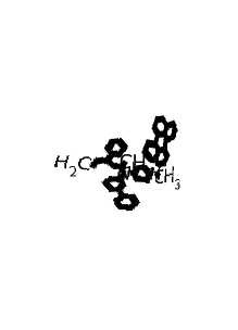 C=C/C=C(\C=C(/C)N(c1ccc(N(C)c2ccc3c4cccc5cccc(c6cccc2c63)c54)cc1)c1cccc(-c2ccccc2)c1)c1ccccc1